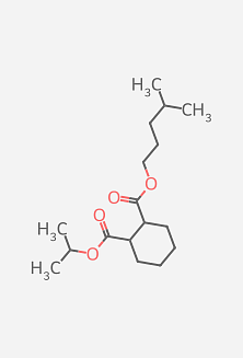 CC(C)CCCOC(=O)C1CCCCC1C(=O)OC(C)C